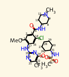 COc1cc(C(=O)NC2CCN(C)CC2)c(Cl)cc1Nc1ncc(C(F)(F)F)c(O[C@@H]2CCCC[C@H]2NS(C)(=O)=O)n1